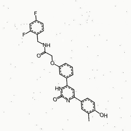 Cc1cc(-c2cc(-c3cccc(OCC(=O)NCc4ccc(F)cc4F)c3)[nH]c(=O)n2)ccc1O